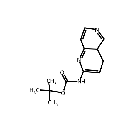 CC(C)(C)OC(=O)NC1=CCC2C=NC=CC2=N1